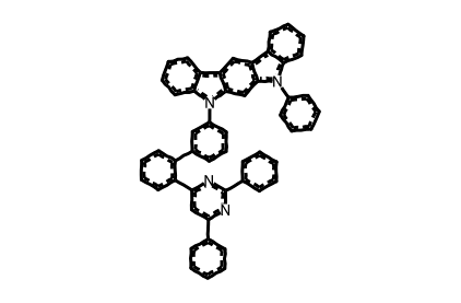 c1ccc(-c2cc(-c3ccccc3-c3cccc(-n4c5ccccc5c5cc6c7ccccc7n(-c7ccccc7)c6cc54)c3)nc(-c3ccccc3)n2)cc1